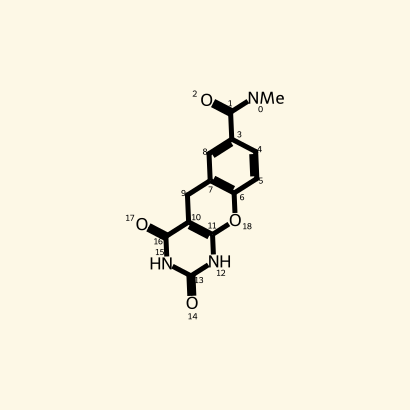 CNC(=O)c1ccc2c(c1)Cc1c([nH]c(=O)[nH]c1=O)O2